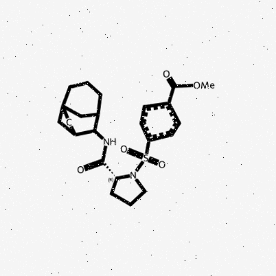 COC(=O)c1ccc(S(=O)(=O)N2CCC[C@@H]2C(=O)NC2C3CCCC4(C3)CC2C4)cc1